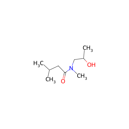 CC(C)CC(=O)N(C)CC(C)O